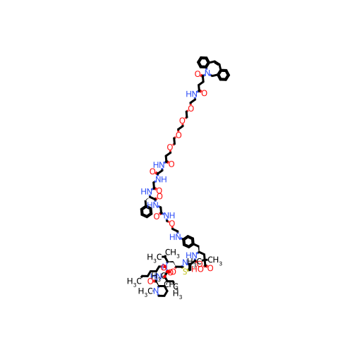 CCCCCCN(C(=O)[C@@H](NC(=O)[C@H]1CCCCN1C)[C@@H](C)CC)[C@H](C[C@@H](OC(C)=O)c1nc(C(=O)N[C@@H](Cc2ccc(NCCOCNC(=O)CNC(=O)[C@H](Cc3ccccc3)NC(=O)CNC(=O)CNC(=O)CCOCCOCCOCCOCCNC(=O)CCC(=O)N3Cc4ccccc4/C=C\c4ccccc43)cc2)CC(C)(C)C(=O)O)cs1)C(C)C